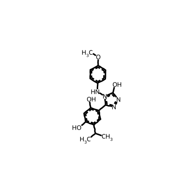 COc1ccc(Nn2c(O)nnc2-c2cc(C(C)C)c(O)cc2O)cc1